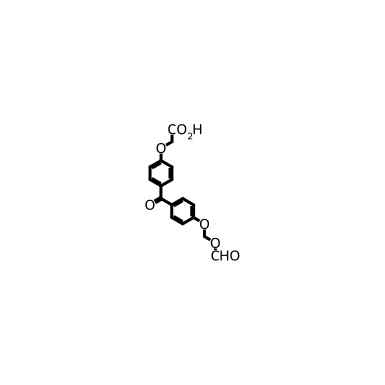 O=COCOc1ccc(C(=O)c2ccc(OCC(=O)O)cc2)cc1